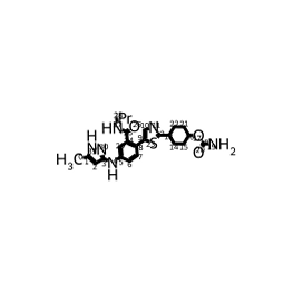 Cc1cc(Nc2ccc(-c3cnc(C4CCC(OC(N)=O)CC4)s3)c(C(=O)NC(C)C)c2)n[nH]1